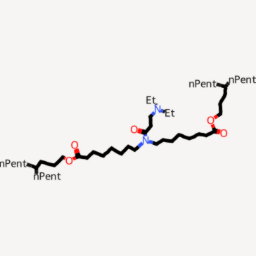 CCCCCC(CCCCC)CCCOC(=O)CCCCCCCN(CCCCCCCC(=O)OCCCC(CCCCC)CCCCC)C(=O)CCN(CC)CC